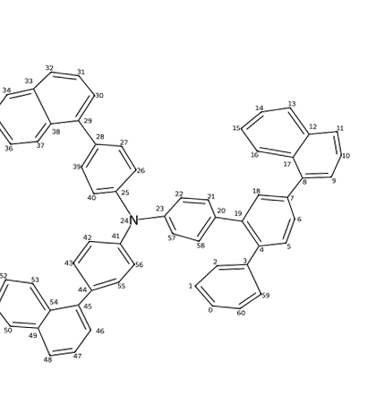 c1ccc(-c2ccc(-c3cccc4ccccc34)cc2-c2ccc(N(c3ccc(-c4cccc5ccccc45)cc3)c3ccc(-c4cccc5ccccc45)cc3)cc2)cc1